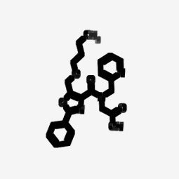 CCCCOCc1oc(-c2ccccc2)nc1C(=O)N(CC(=O)O)Cc1ccccn1